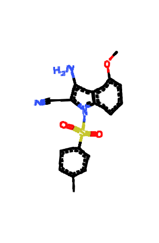 COc1cccc2c1c(N)c(C#N)n2S(=O)(=O)c1ccc(C)cc1